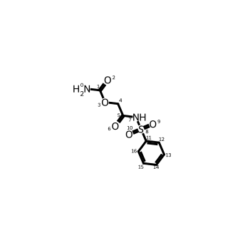 NC(=O)OCC(=O)NS(=O)(=O)c1ccccc1